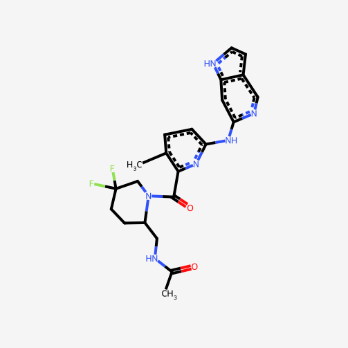 CC(=O)NCC1CCC(F)(F)CN1C(=O)c1nc(Nc2cc3[nH]ccc3cn2)ccc1C